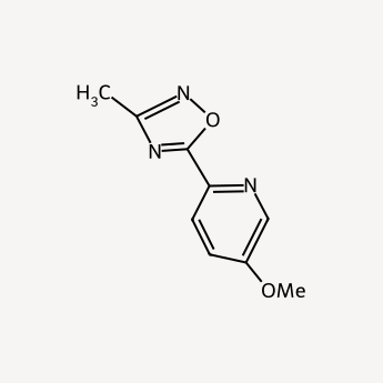 COc1ccc(-c2nc(C)no2)nc1